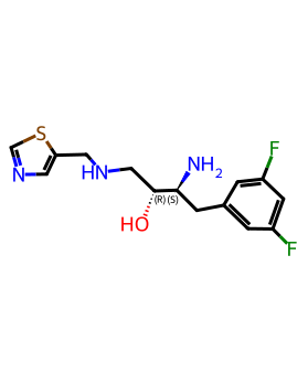 N[C@@H](Cc1cc(F)cc(F)c1)[C@H](O)CNCc1cncs1